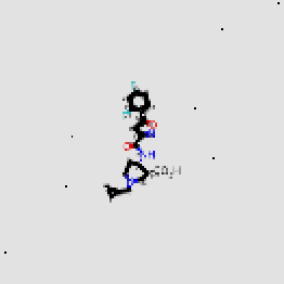 O=C(N[C@H]1CCN(CC2CC2)C[C@@H]1C(=O)O)c1cc(-c2ccc(F)cc2F)on1